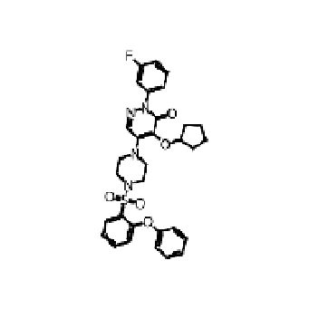 O=c1c(OC2CCCC2)c(N2CCN(S(=O)(=O)c3ccccc3Oc3ccccc3)CC2)cnn1-c1cccc(F)c1